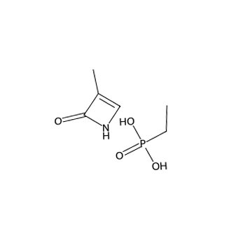 CC1=CNC1=O.CCP(=O)(O)O